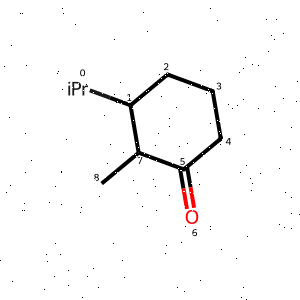 CC(C)C1CCCC(=O)C1C